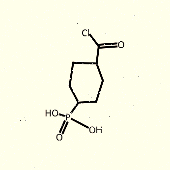 O=C(Cl)C1CCC(P(=O)(O)O)CC1